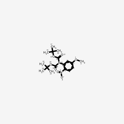 COc1ccc([N+](=O)[O-])c(N(C(=O)OC(C)(C)C)C(=O)OC(C)(C)C)c1